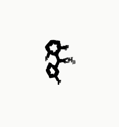 C[C](c1cccc(F)c1)c1c(F)cccc1F